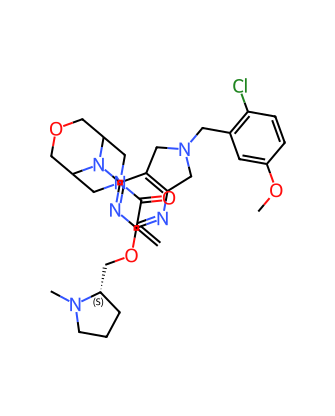 C=CC(=O)N1CC2COCC(C1)N2c1nc(OC[C@@H]2CCCN2C)nc2c1CN(Cc1cc(OC)ccc1Cl)C2